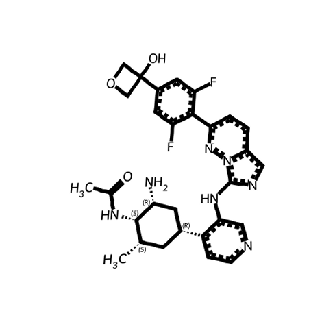 CC(=O)N[C@@H]1[C@H](N)C[C@H](c2ccncc2Nc2ncc3ccc(-c4c(F)cc(C5(O)COC5)cc4F)nn23)C[C@@H]1C